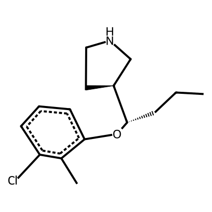 CCC[C@H](Oc1cccc(Cl)c1C)[C@H]1CCNC1